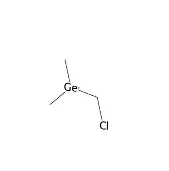 [CH3][Ge]([CH3])[CH2]Cl